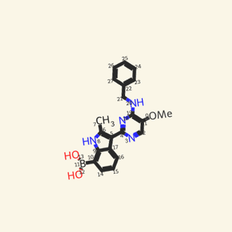 COc1cnc(-c2c(C)[nH]c3c(B(O)O)cccc23)nc1NCc1ccccc1